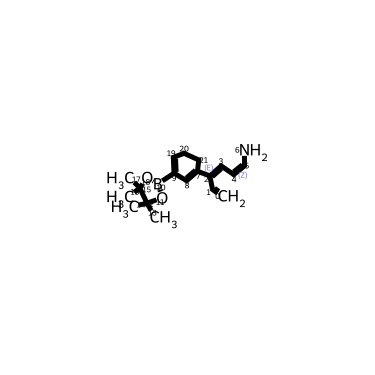 C=C/C(=C\C=C/N)C1=CC(B2OC(C)(C)C(C)(C)O2)=CCC1